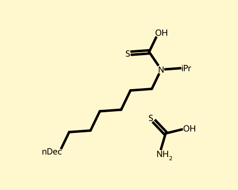 CCCCCCCCCCCCCCCCN(C(O)=S)C(C)C.NC(O)=S